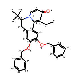 CCc1c2n(ccc1=O)C(C(C)(C)C)Cc1cc(OCc3ccccc3)c(OCc3ccccc3)cc1-2